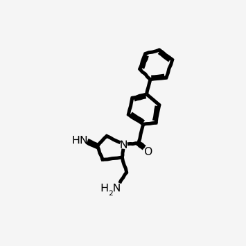 N=C1CC(CN)N(C(=O)c2ccc(-c3ccccc3)cc2)C1